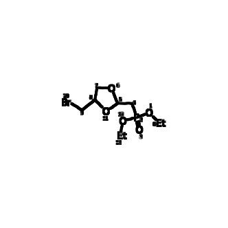 CCOP(=O)(CC1OCC(CBr)O1)OCC